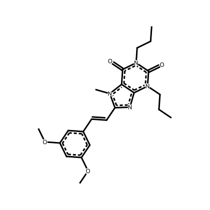 CCCn1c(=O)c2c(nc(C=Cc3cc(OC)cc(OC)c3)n2C)n(CCC)c1=O